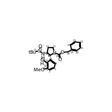 COc1cccc([C@@H]2[C@H](N[S+]([O-])C(C)(C)C)CCN2C(=O)OCc2ccccc2)c1C